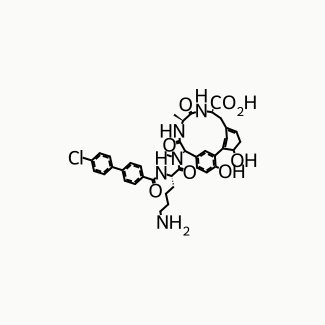 C[C@@H]1NC(=O)[C@@H](N(C)C(=O)[C@H](CCCCN)NC(=O)c2ccc(-c3ccc(Cl)cc3)cc2)c2ccc(O)c(c2)C2=CC(=CCC2O)C[C@@H](C(=O)O)NC1=O